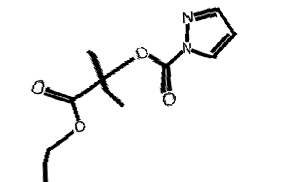 CCOC(=O)C(C)(C)OC(=O)n1cccn1